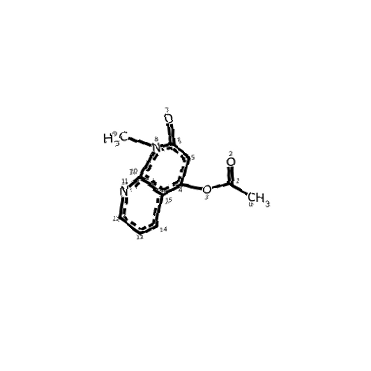 CC(=O)Oc1cc(=O)n(C)c2ncccc12